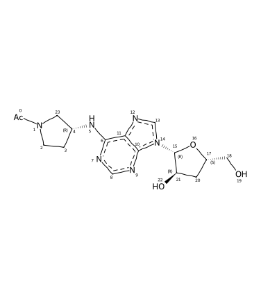 CC(=O)N1CC[C@@H](Nc2ncnc3c2ncn3[C@@H]2O[C@H](CO)C[C@H]2O)C1